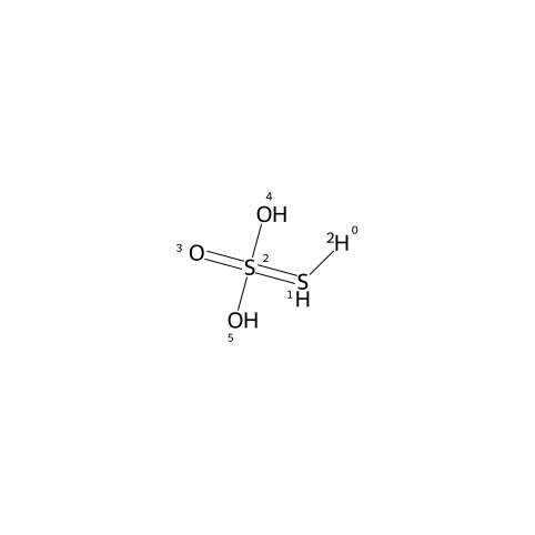 [2H][SH]=S(=O)(O)O